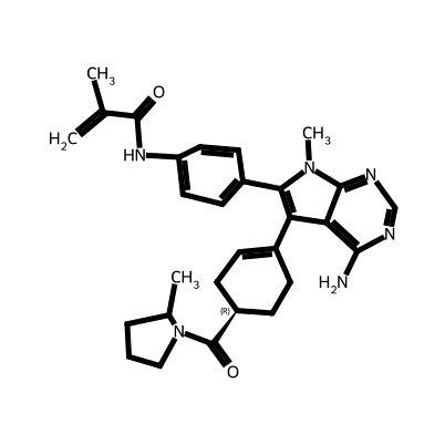 C=C(C)C(=O)Nc1ccc(-c2c(C3=CC[C@H](C(=O)N4CCCC4C)CC3)c3c(N)ncnc3n2C)cc1